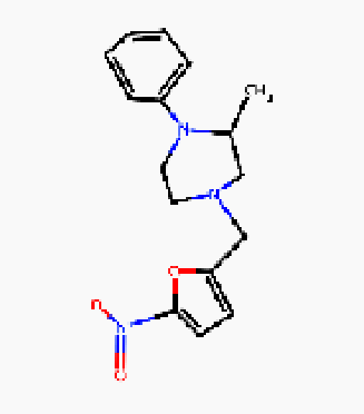 CC1CN(Cc2ccc([N+](=O)[O-])o2)CCN1c1ccccc1